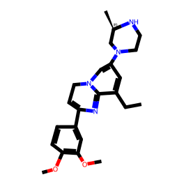 CCC1=CC(N2CCN[C@H](C)C2)=CN2CC=C(c3ccc(OC)c(OC)c3)N=C12